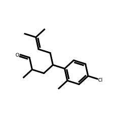 CC(C)=CCC(CC(C)C=O)c1ccc(Cl)cc1C